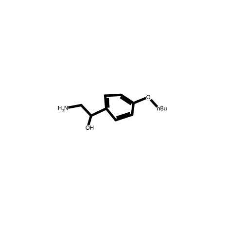 CCCCOc1ccc(C(O)CN)cc1